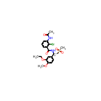 CCOc1cc([C@@H](CS(C)(=O)=O)NC(=O)c2cccc(NC(C)=O)c2Br)ccc1OC